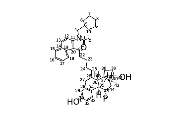 CC(=O)N(CC1CCCCC1)c1ccc2ccccc2c1CCCCC[C@@H]1Cc2cc(O)ccc2[C@@H]2[C@@H]1[C@@H]1CC[C@H](O)[C@@]1(C)C[C@@H]2F